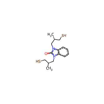 CC(CS)Cn1c(=O)n(CC(C)CS)c2ccccc21